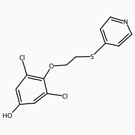 Oc1cc(Cl)c(OCCSc2ccncc2)c(Cl)c1